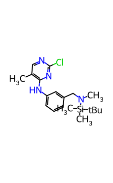 Cc1cnc(Cl)nc1Nc1cccc(CN(C)[Si](C)(C)C(C)(C)C)c1